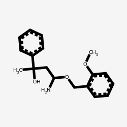 COc1ccccc1COC(N)CC(C)(O)c1ccccc1